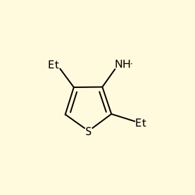 CCc1csc(CC)c1[NH]